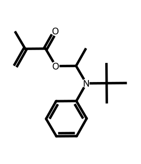 C=C(C)C(=O)OC(C)N(c1ccccc1)C(C)(C)C